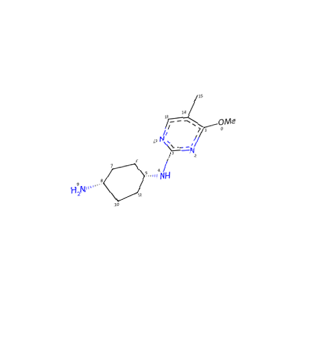 COc1nc(N[C@H]2CC[C@@H](N)CC2)ncc1C